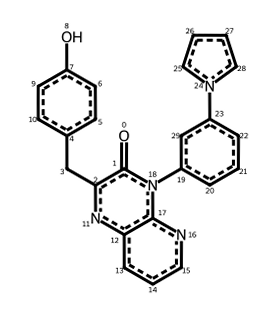 O=c1c(Cc2ccc(O)cc2)nc2cccnc2n1-c1cccc(-n2cccc2)c1